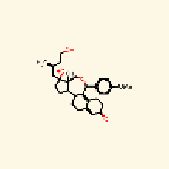 C=C(CCO)CC1(O)CCC2C3CCC4=CC(=O)CCC4=C3C(c3ccc(OC)cc3)OCC21C